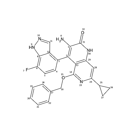 Nc1c(-c2ccc(F)c3[nH]ncc23)c2c(OCc3ccccc3)nc(C3CC3)cc2[nH]c1=O